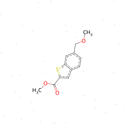 COCc1ccc2cc(C(=O)OC)sc2c1